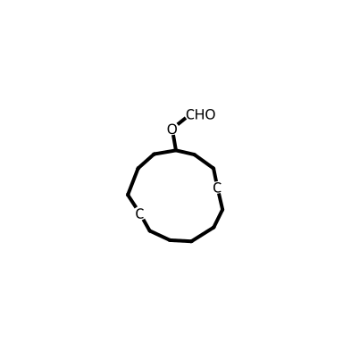 O=COC1CCCCCCCCCCCC1